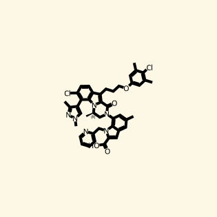 Cc1cc(N2C[C@@H](C)n3c(c(CCCOc4cc(C)c(Cl)c(C)c4)c4ccc(Cl)c(-c5cn(C)nc5C)c43)C2=O)c2c(c1)cc(C(=O)O)n2Cc1ccccn1